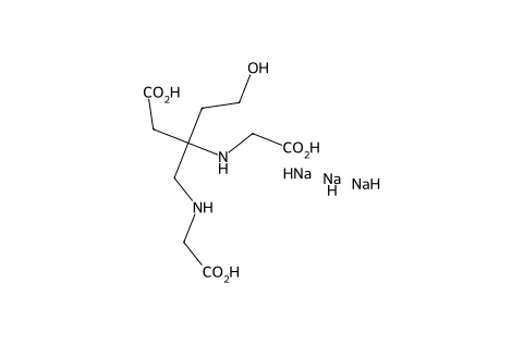 O=C(O)CNCC(CCO)(CC(=O)O)NCC(=O)O.[NaH].[NaH].[NaH]